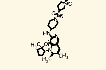 C=C1C(C)=Cc2cnc(NC3CCN(S(=O)(=O)C4CCS(=O)(=O)C4)CC3)nc2N1[C@H]1CCC[C@]1(C)O